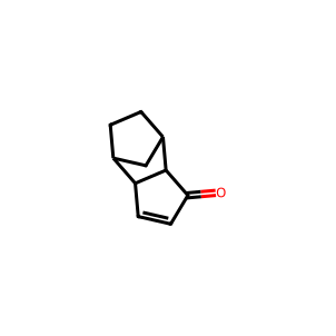 O=C1C=CC2C3CCC(C3)C12